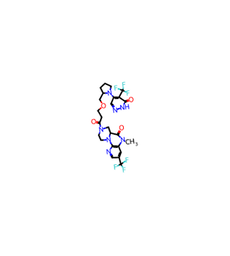 CN1C(=O)C2CN(C(=O)CCOCC3CCCN3c3cn[nH]c(=O)c3C(F)(F)F)CCN2c2ncc(C(F)(F)F)cc21